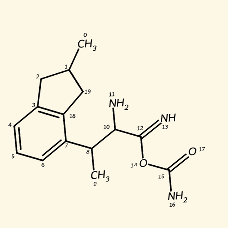 CC1Cc2cccc(C(C)C(N)C(=N)OC(N)=O)c2C1